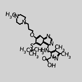 Cc1nn(C(=O)O)c(Nc2ncnc3cc(OCCCN4CCN(C)CC4)c(SC(C)(C)C)cc23)c1C